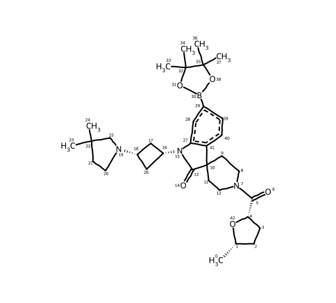 C[C@H]1CC[C@@H](C(=O)N2CCC3(CC2)C(=O)N([C@H]2C[C@@H](N4CCC(C)(C)C4)C2)c2cc(B4OC(C)(C)C(C)(C)O4)ccc23)O1